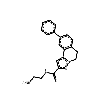 CC(=O)NCCNC(=O)c1cc2n(n1)CCc1cnc(-c3ccccc3)nc1-2